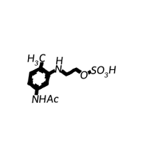 CC(=O)Nc1ccc(C)c(NCCOS(=O)(=O)O)c1